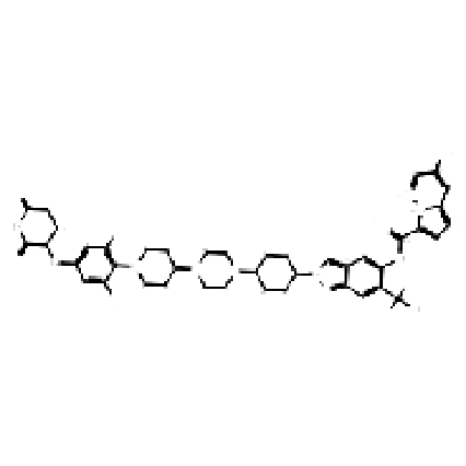 CC(C)(O)c1cc2nn(C3CCC(N4CCN(C5CCN(c6c(F)cc(NC7CCC(=O)NC7=O)cc6F)CC5)CC4)CC3)cc2cc1NC(=O)c1ccc2cc(C#N)cnn12